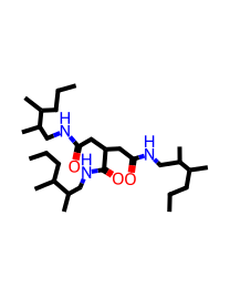 CCCC(C)C(C)CNC(=O)CC(CC(=O)NCC(C)C(C)CCC)C(=O)NCC(C)C(C)CCC